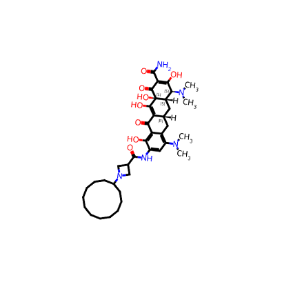 CN(C)c1cc(NC(=O)C2CN(C3CCCCCCCCCCC3)C2)c(O)c2c1C[C@H]1C[C@H]3[C@H](N(C)C)C(O)=C(C(N)=O)C(=O)[C@@]3(O)C(O)=C1C2=O